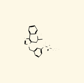 CNS(=O)(=O)Nc1cccc(Cn2cnc(-c3ccccc3)c2CC(C)O)c1